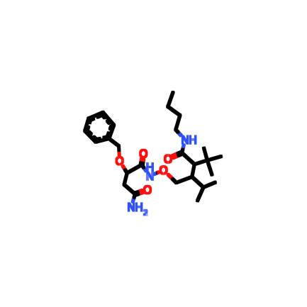 CCCCNC(=O)C(C(CONC(=O)C(CC(N)=O)OCc1ccccc1)C(C)C)C(C)(C)C